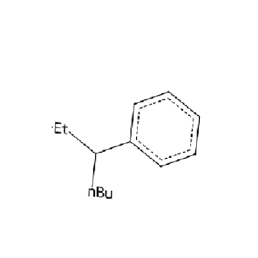 C[CH]C(CCCC)c1ccccc1